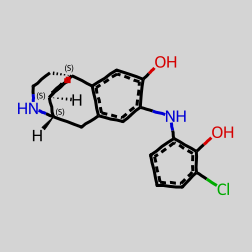 Oc1cc2c(cc1Nc1cccc(Cl)c1O)C[C@@H]1NCC[C@]23CCCC[C@H]13